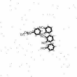 CCOCC.N#Cc1ccccc1C#N.N#Cc1ccccc1C#N.Oc1ccccc1.Oc1ccccc1